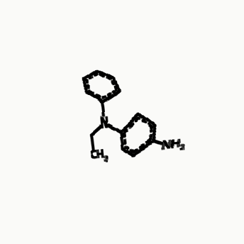 CCN(c1ccccc1)c1ccc(N)cc1